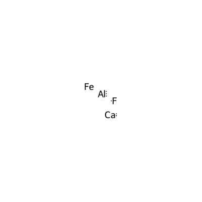 [Al].[Ca].[F].[Fe]